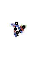 COc1ncc(-c2cc(Oc3ccc(C(=O)Nc4ccccc4N)cc3)c3ncnc(C)c3c2)cc1NS(=O)(=O)c1ccc(F)cc1F